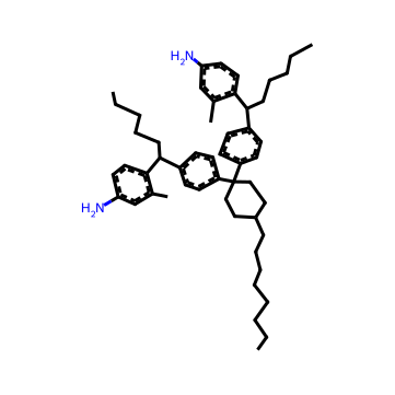 CCCCCCCCC1CCC(c2ccc(C(CCCCC)c3ccc(N)cc3C)cc2)(c2ccc(C(CCCCC)c3ccc(N)cc3C)cc2)CC1